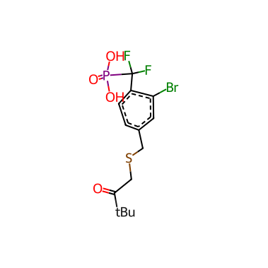 CC(C)(C)C(=O)CSCc1ccc(C(F)(F)P(=O)(O)O)c(Br)c1